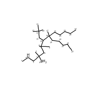 BC(C)(CNC)CC(C)(C)C(CC(C)(C)C)C(C)(CCCCC)CCCCC